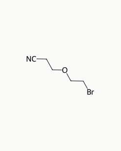 N#CCCOCCBr